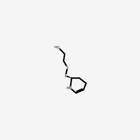 OCCSS[C@H]1CCC=CN1